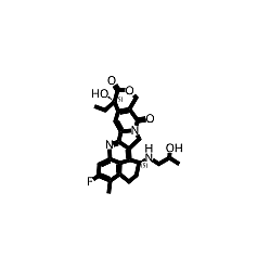 CC[C@@]1(O)C(=O)OCc2c1cc1n(c2=O)Cc2c-1nc1cc(F)c(C)c3c1c2[C@@H](NCC(C)O)CC3